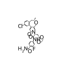 C[C@@H]1Cc2ccc(Cl)cc2-c2cc(=O)n([C@@H](C[C@@H]3COCCO3)C(=O)Nc3ccc(C(N)=O)c(F)c3)cc2CO1